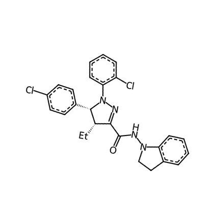 CC[C@H]1C(C(=O)NN2CCc3ccccc32)=NN(c2ccccc2Cl)[C@H]1c1ccc(Cl)cc1